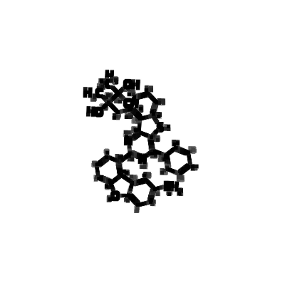 Bc1ccc2oc3cccc(-c4nc(-c5ccccc5)c5sc6cccc(CC(C)(O)C(C)(C)O)c6c5n4)c3c2c1